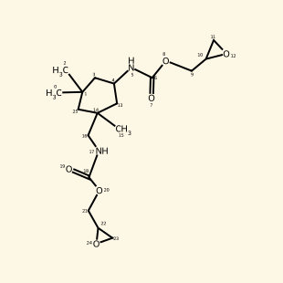 CC1(C)CC(NC(=O)OCC2CO2)CC(C)(CNC(=O)OCC2CO2)C1